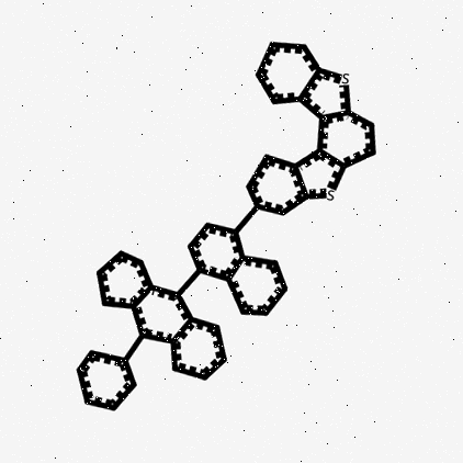 c1ccc(-c2c3ccccc3c(-c3ccc(-c4ccc5c(c4)sc4ccc6sc7ccccc7c6c45)c4ccccc34)c3ccccc23)cc1